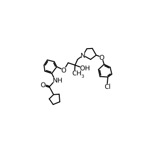 CC(O)(COc1ccccc1NC(=O)C1CCCC1)CN1CCC(Oc2ccc(Cl)cc2)C1